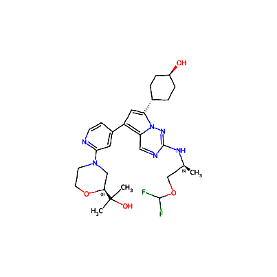 C[C@@H](COC(F)F)Nc1ncc2c(-c3ccnc(N4CCO[C@H](C(C)(C)O)C4)c3)cc([C@H]3CC[C@H](O)CC3)n2n1